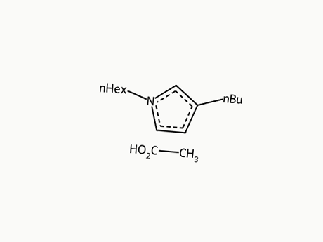 CC(=O)O.CCCCCCn1ccc(CCCC)c1